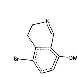 COc1ccc(Br)c2c1C=NCC2